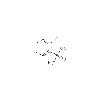 CC(C)COP(C)(=O)c1ccccc1F